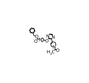 CC(=O)N1CC=C(c2nccnc2OC2CN(C(=O)OCc3ccccc3)C2)CC1